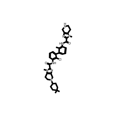 Cc1c(NC(=O)c2nc3c(n2C)CCNC3)cccc1-c1cccc(NC(=O)c2nc3c(n2C)CCN(C2CCC(C)(C)CC2)C3)c1Cl